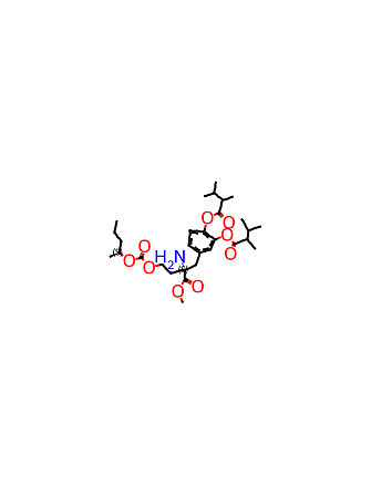 CCC[C@H](C)OC(=O)OCC[C@@](N)(Cc1ccc(OC(=O)C(C)C(C)C)c(OC(=O)C(C)C(C)C)c1)C(=O)OC